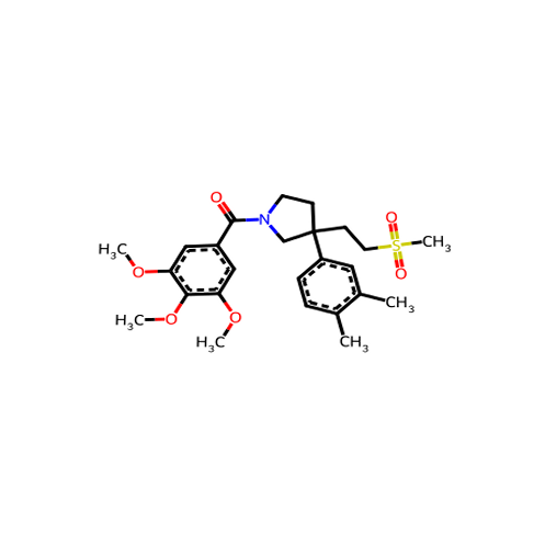 COc1cc(C(=O)N2CCC(CCS(C)(=O)=O)(c3ccc(C)c(C)c3)C2)cc(OC)c1OC